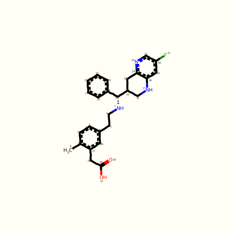 Cc1ccc(CCN[C@H](c2ccccc2)C2CNc3cc(F)cnc3C2)cc1CC(=O)O